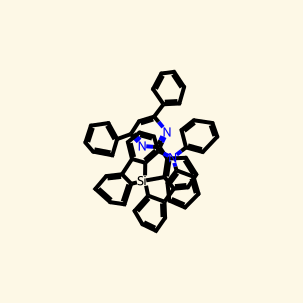 c1ccc(-c2cc(-c3ccccc3)nc(-c3cccc4c3[Si]3(c5ccccc5-4)c4ccccc4-c4cccc(N(c5ccccc5)c5ccccc5)c43)n2)cc1